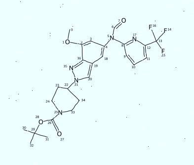 COc1cc(N(C=O)c2cccc(C(F)(F)F)n2)cc2cn(C3CCN(C(=O)OC(C)(C)C)CC3)nc12